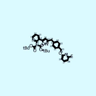 CC(C)(C)OC(=O)N(C(=O)OC(C)(C)C)c1ncccc1-c1cc(Cc2ccc(COc3cccc(F)n3)cc2)no1